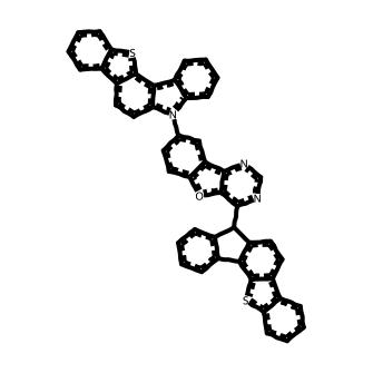 c1ccc2c(c1)-c1c(ccc3c1sc1ccccc13)C2c1ncnc2c1oc1ccc(-n3c4ccccc4c4c5sc6ccccc6c5ccc43)cc12